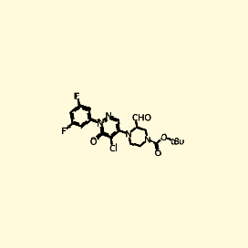 CC(C)(C)OC(=O)N1CCN(c2cnn(-c3cc(F)cc(F)c3)c(=O)c2Cl)C(C=O)C1